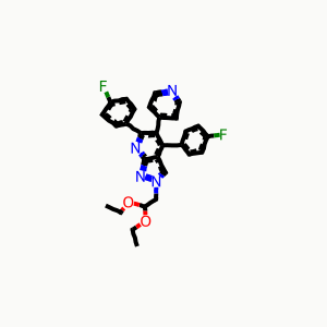 CCOC(Cn1cc2c(-c3ccc(F)cc3)c(-c3ccncc3)c(-c3ccc(F)cc3)nc2n1)OCC